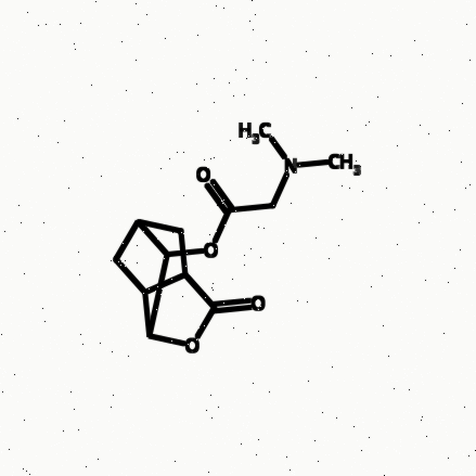 CN(C)CC(=O)OC1C2CC3C(=O)OC1C3C2